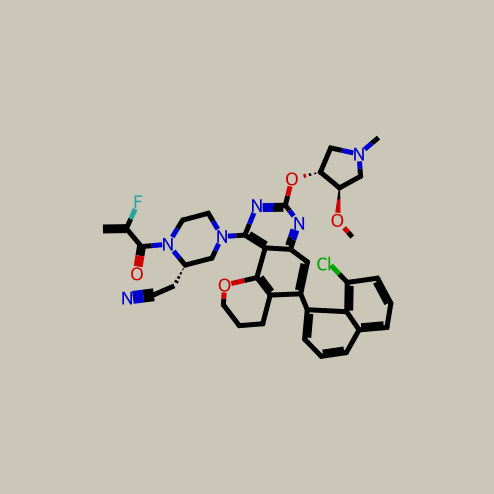 C=C(F)C(=O)N1CCN(c2nc(O[C@@H]3CN(C)C[C@H]3OC)nc3cc(-c4cccc5cccc(Cl)c45)c4c(c23)OCCC4)C[C@@H]1CC#N